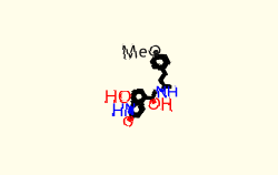 COc1ccc(CCC(C)NCC(O)c2ccc(O)c3[nH]c(=O)ccc23)cc1